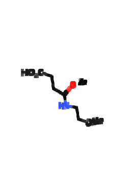 COCCNC(=O)CCC(=O)O.[Zn]